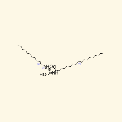 CCCCCCCC/C=C/CCCCCCCC(=O)N[C@@H](CO)[C@H](O)/C=C/C=C/CCCCCCCCC